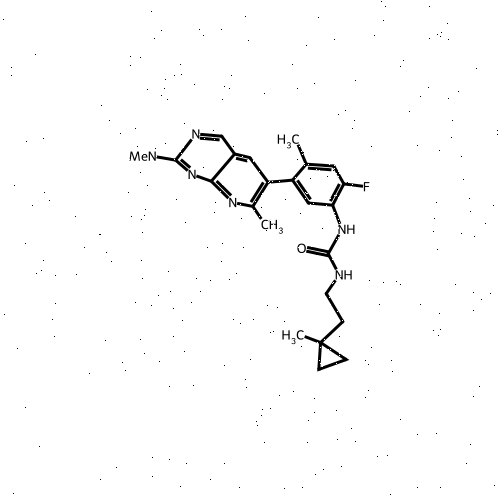 CNc1ncc2cc(-c3cc(NC(=O)NCCC4(C)CC4)c(F)cc3C)c(C)nc2n1